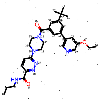 CCCNC(=O)c1ccc(N2CCN(C(=O)c3cc(-c4cncc(OCC)c4)cc(C(C)(C)C)c3)CC2)nn1